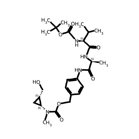 CC(C)[C@H](NC(=O)OC(C)(C)C)C(=O)N[C@@H](C)C(=O)Nc1ccc(COC(=O)N(C)[C@@H]2C[C@@H]2CO)cc1